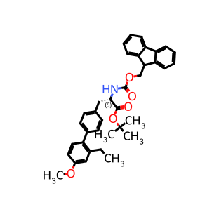 CCc1cc(OC)ccc1-c1ccc(C[C@H](NC(=O)OCC2c3ccccc3-c3ccccc32)C(=O)OC(C)(C)C)cc1